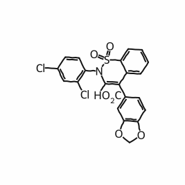 O=C(O)C1=C(c2ccc3c(c2)OCO3)c2ccccc2S(=O)(=O)N1c1ccc(Cl)cc1Cl